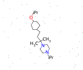 CC(C)OC1CCC(CCC(C)(C)N2CCN(C(C)C)CC2)CC1